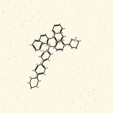 c1ccc2c(-c3ccc4ccccc4c3N(c3ccc(-c4ccc(C5CCCCC5)cc4)cc3)c3ccc(C4CCCCC4)cc3)cccc2c1